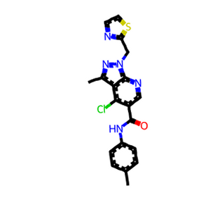 Cc1ccc(NC(=O)c2cnc3c(c(C)nn3Cc3nccs3)c2Cl)cc1